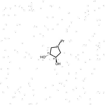 CC(C)N1C[C@@H](O)[C@H](O)C1